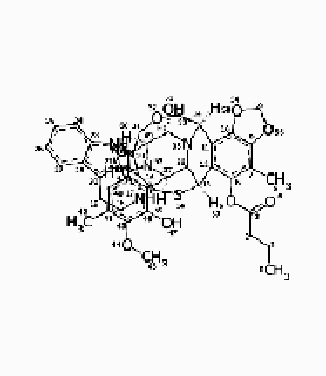 CCCC(=O)Oc1c(C)c2c(c3c1[C@H]1SC[C@]4(NCCc5c4[nH]c4ccccc54)C(=O)COC[C@@H]3N3C1[C@H]1c4c(cc(C)c(OC)c4O)C[C@@H]([C@@H]3O)N1C)OCO2